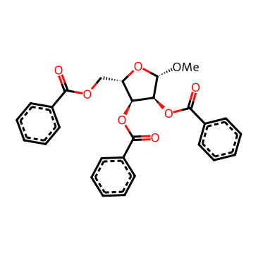 CO[C@H]1O[C@@H](COC(=O)c2ccccc2)[C@H](OC(=O)c2ccccc2)[C@@H]1OC(=O)c1ccccc1